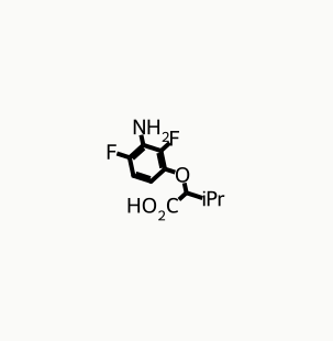 CC(C)C(Oc1ccc(F)c(N)c1F)C(=O)O